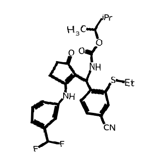 CCSc1cc(C#N)ccc1C(NC(=O)OC(C)C(C)C)C1=C(Nc2cccc(C(F)F)c2)CCC1=O